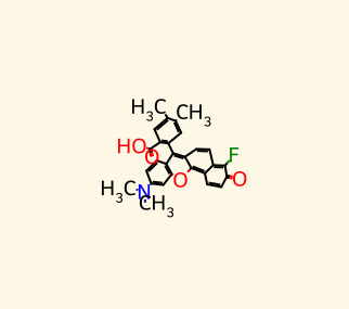 Cc1cc(C(=O)O)c(-c2c3ccc(N(C)C)cc3oc3c2ccc2c(F)c(=O)ccc23)cc1C